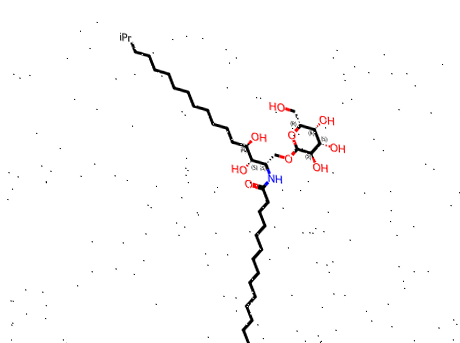 CCCCCCCCCCCCCCCCCCCCCCCC(=O)N[C@@H](COC1O[C@H](CO)[C@H](O)[C@H](O)[C@H]1O)[C@H](O)[C@H](O)CCCCCCCCCCCC(C)C